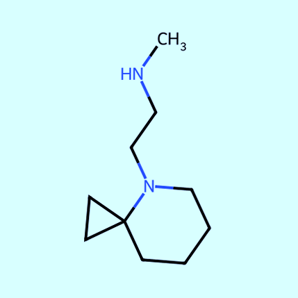 CNCCN1CCCCC12CC2